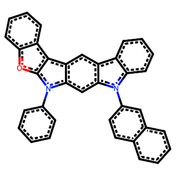 c1ccc(-n2c3cc4c(cc3c3c5ccccc5oc32)c2ccccc2n4-c2ccc3ccccc3c2)cc1